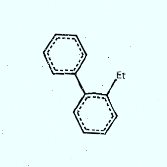 CCc1ccccc1-c1ccccc1